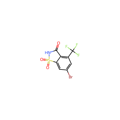 O=C1NS(=O)(=O)c2cc(Br)cc(C(F)(F)F)c21